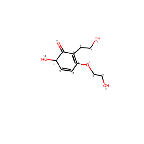 O=C1C(CCO)=C(OCCO)C=CC1O